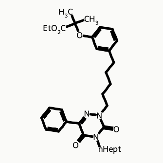 CCCCCCCn1c(=O)c(-c2ccccc2)nn(CCCCCc2cccc(OC(C)(C)C(=O)OCC)c2)c1=O